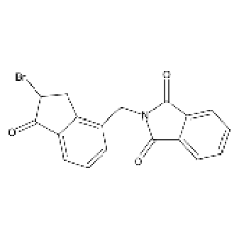 O=C1c2cccc(CN3C(=O)c4ccccc4C3=O)c2CC1Br